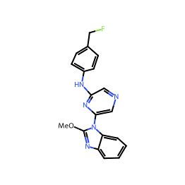 COc1nc2ccccc2n1-c1cncc(Nc2ccc(CF)cc2)n1